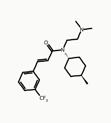 CN(C)CCN(C(=O)C=Cc1cccc(C(F)(F)F)c1)[C@H]1CC[C@H](C)CC1